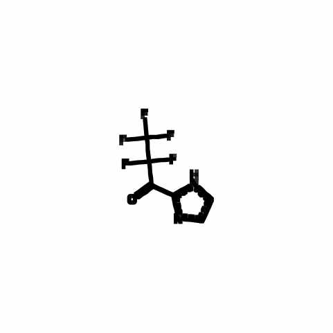 O=C(c1ncc[nH]1)C(F)(F)C(F)(F)F